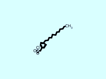 CCCCCCCCCCCCc1ccc(CS(=O)(=O)Cl)cc1